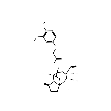 C=C[C@]1(C)C[C@@H](OC(=O)CSc2ccc(OC)c(OC)c2)[C@]2(C)C(C)CCC3(CCC(=O)C32)[C@@H](C)[C@@H]1O